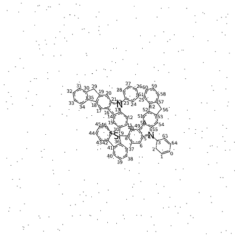 C1=CCC(n2c3ccc([Si]4(c5ccc6c(c5)c5cc7c(cc5n6-c5ccccc5)Cc5ccccc5-7)c5ccccc5-c5ccccc54)cc3c3cc4c(cc32)Cc2ccccc2-4)C=C1